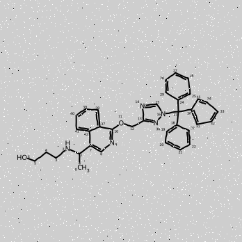 CC(NCCCO)c1cnc(OCc2ncn(C(c3ccccc3)(c3ccccc3)c3ccccc3)n2)c2ccccc12